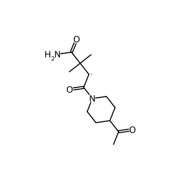 CC(=O)C1CCN(C(=O)[CH]C(C)(C)C(N)=O)CC1